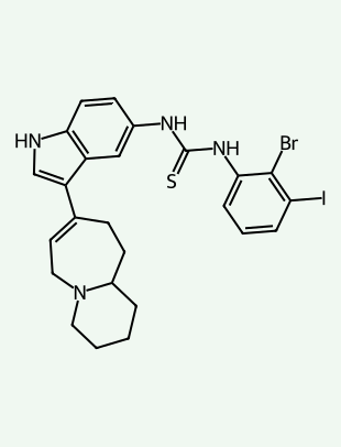 S=C(Nc1ccc2[nH]cc(C3=CCN4CCCCC4CC3)c2c1)Nc1cccc(I)c1Br